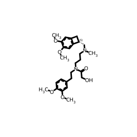 COc1ccc(CCN(CCCN(C)C[C@H]2Cc3cc(OC)c(OC)cc32)C(=O)CO)cc1OC